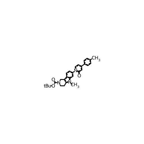 Cc1ccc(-c2ccn(-c3ccc4c5c(n(C)c4c3)CCN(C(=O)OC(C)(C)C)C5)c(=O)c2)cc1